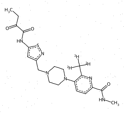 [2H]C([2H])([2H])c1nc(C(=O)NC)ccc1N1CCN(Cc2cc(NC(=O)C(=O)CC)sn2)CC1